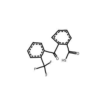 O=C(S)c1ccccc1C(=O)c1ccccc1C(F)(F)F